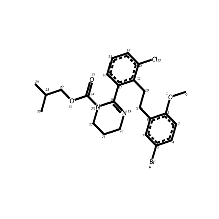 COc1ccc(Br)cc1CCc1c(Cl)cccc1C1=NCCCN1C(=O)OCC(C)C